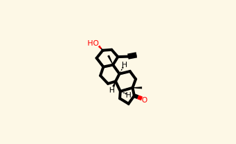 C#CC1C[C@H](O)CC2CC[C@@H]3[C@H](CC[C@]4(C)C(=O)CC[C@@H]34)[C@@]12C